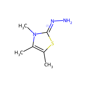 Cc1s/c(=N\N)n(C)c1C